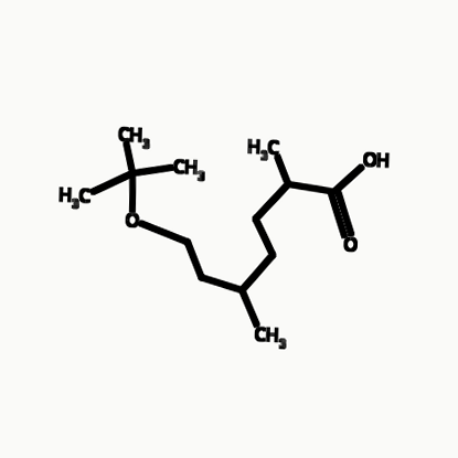 CC(CCOC(C)(C)C)CCC(C)C(=O)O